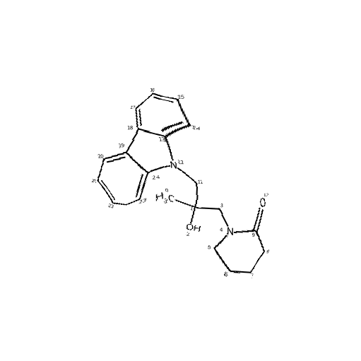 CC(O)(CN1CCCCC1=O)Cn1c2ccccc2c2ccccc21